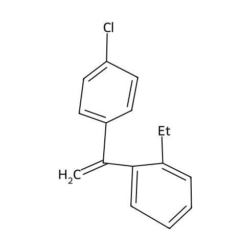 C=C(c1ccc(Cl)cc1)c1ccccc1CC